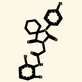 CCc1ccc(N2C(=O)N(CC(=O)Nc3c(CC)cccc3CC)C(=O)C23CCCCC3)cc1